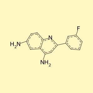 Nc1ccc2nc(-c3cccc(F)c3)cc(N)c2c1